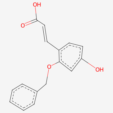 O=C(O)/C=C/c1ccc(O)cc1OCc1ccccc1